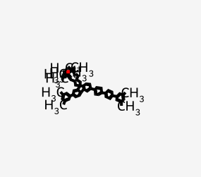 Cc1cc(C)cc(-c2ccc(-c3ccc(-c4ccc5c(c4)-c4ccc(-c6cc(C)cc(C)c6)cc4C5(CCCC[N+](C)(C)C)CCC[I-][N+](C)(C)C)cc3)cc2)c1